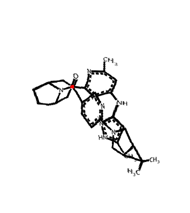 Cc1cc(Nc2cc(C)[nH]n2)nc(N2CC3CCC(C2)N3C(=O)c2ccc(N3CC4C(C3)C4(C)C)nc2)n1